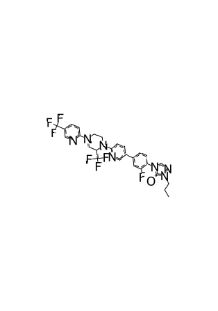 CCCn1ncn(-c2ccc(-c3ccc(N4CCN(c5ccc(C(F)(F)F)cn5)CC4C(F)(F)F)nc3)cc2F)c1=O